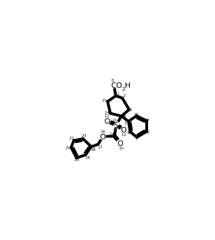 O=C(O)C1CCC(c2ccccc2)(S(=O)(=O)C(=O)OCc2ccccc2)CC1